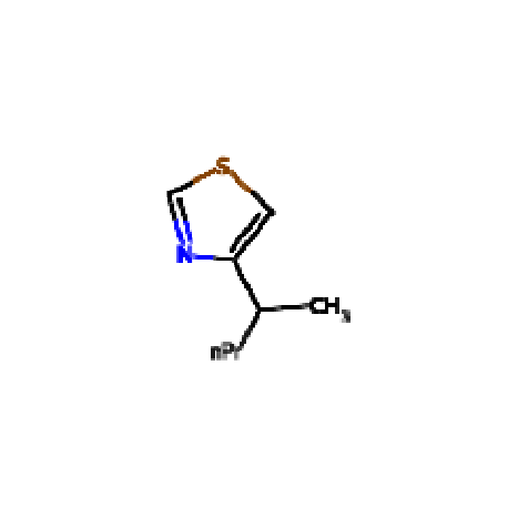 CCCC(C)c1cscn1